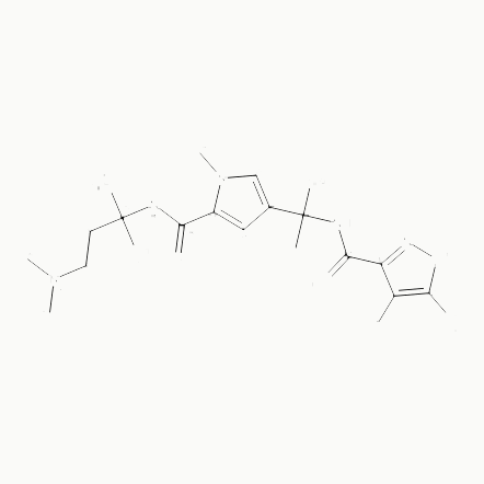 CCCCC(C)(NC(=O)c1nsc(Cl)c1Cl)c1cc(C(=O)NC(CCC)(CCC)CCN(C)C)n(C)c1